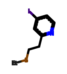 CCSCCc1cc(I)ccn1